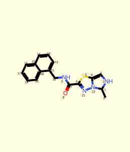 CC1NC=C2SC(C(=O)NCc3cccc4ccccc34)=NN21